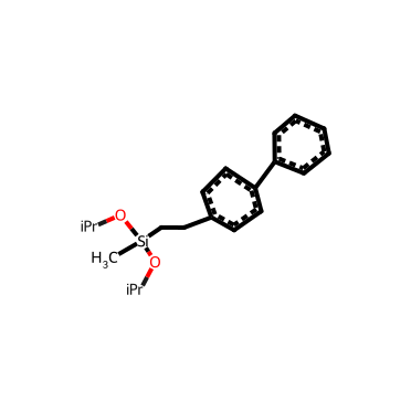 CC(C)O[Si](C)(CCc1ccc(-c2ccccc2)cc1)OC(C)C